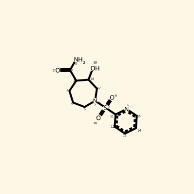 NC(=O)C1CCCN(S(=O)(=O)c2ccccn2)CC1O